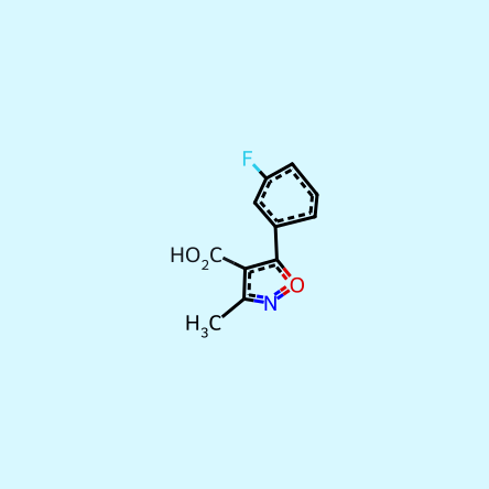 Cc1noc(-c2cccc(F)c2)c1C(=O)O